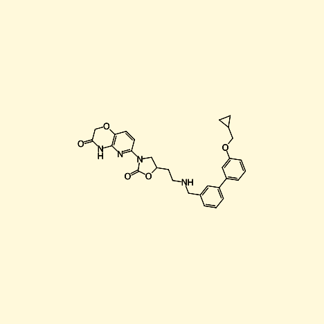 O=C1COc2ccc(N3CC(CCNCc4cccc(-c5cccc(OCC6CC6)c5)c4)OC3=O)nc2N1